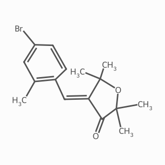 Cc1cc(Br)ccc1/C=C1/C(=O)C(C)(C)OC1(C)C